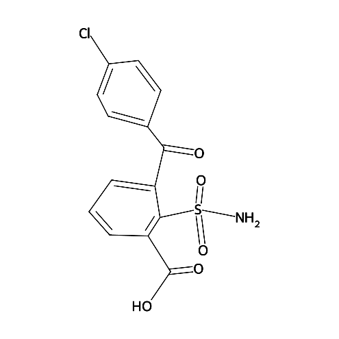 NS(=O)(=O)c1c(C(=O)O)cccc1C(=O)c1ccc(Cl)cc1